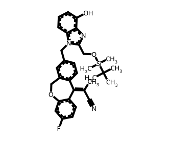 C/C(C#N)=C1\c2ccc(Cn3c(CO[Si](C)(C)C(C)(C)C)nc4c(O)cccc43)cc2COc2cc(F)ccc21